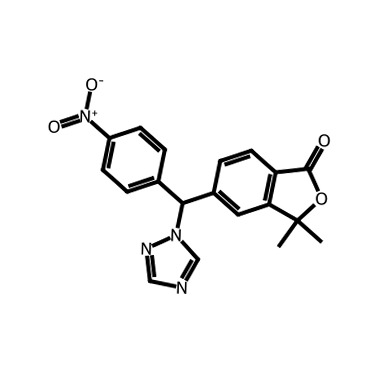 CC1(C)OC(=O)c2ccc(C(c3ccc([N+](=O)[O-])cc3)n3cncn3)cc21